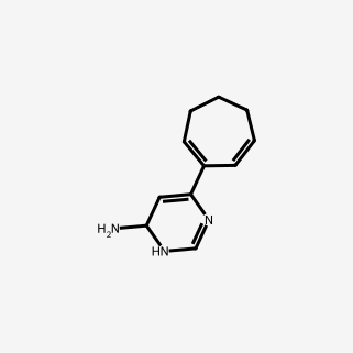 NC1C=C(C2=CCCCC=C2)N=CN1